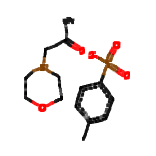 CCCC(=O)C[S+]1CCOCC1.Cc1ccc(S(=O)(=O)[O-])cc1